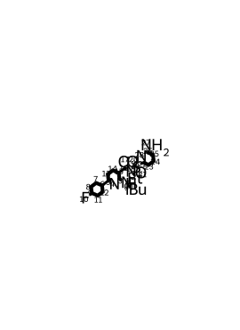 CC[C@@H](C)N(CC)c1nc(-c2ccc(F)cc2)ccc1C(=O)NS(=O)(=O)c1cccc(N)n1